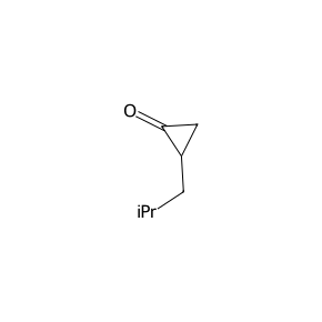 CC(C)CC1CC1=O